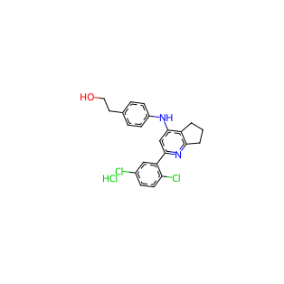 Cl.OCCc1ccc(Nc2cc(-c3cc(Cl)ccc3Cl)nc3c2CCC3)cc1